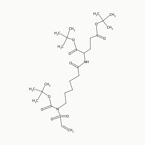 C=CS(=O)(=O)N(CCCCCC(=O)NC(CCC(=O)OC(C)(C)C)C(=O)OC(C)(C)C)C(=O)OC(C)(C)C